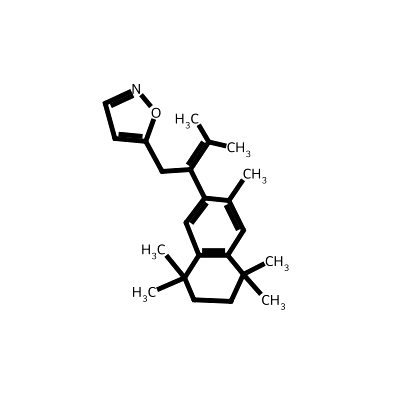 CC(C)=C(Cc1ccno1)c1cc2c(cc1C)C(C)(C)CCC2(C)C